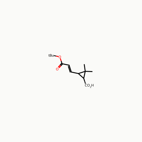 CC(C)(C)OC(=O)/C=C/C1C(C(=O)O)C1(C)C